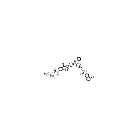 CN(C)CCC(=O)Nc1ccc2c(=O)n(CC3(O)CCN(C(=O)C4CCN(CCNC(=O)c5ccc6c(Cl)ccnc6c5)C[C@H]4c4ccccc4)CC3)cnc2c1